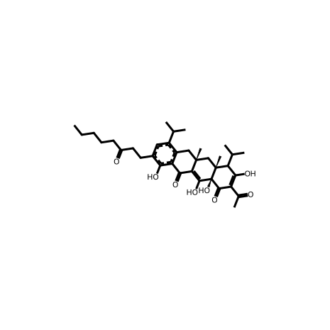 CCCCCC(=O)CCc1cc(C(C)C)c2c(c1O)C(=O)C1=C(O)[C@@]3(O)C(=O)C(C(C)=O)=C(O)C(C(C)C)[C@@]3(C)C[C@@]1(C)C2